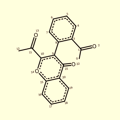 CC(=O)c1ccccc1-c1c(C(C)=O)oc2ccccc2c1=O